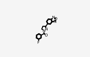 O=C(c1cccc(F)c1)N1CCC(c2ccc3nonc3c2)=N1